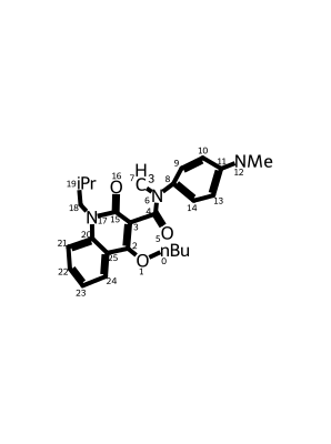 CCCCOc1c(C(=O)N(C)c2ccc(NC)cc2)c(=O)n(CC(C)C)c2ccccc12